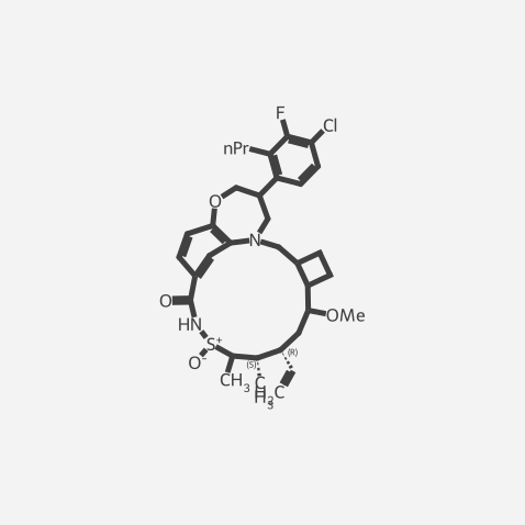 C=C[C@H]1CC(OC)C2CCC2CN2CC(c3ccc(Cl)c(F)c3CCC)COc3ccc(cc32)C(=O)N[S+]([O-])C(C)[C@H]1C